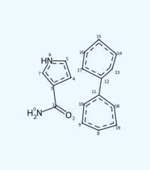 NC(=O)c1cc[nH]c1.c1ccc(-c2ccccc2)cc1